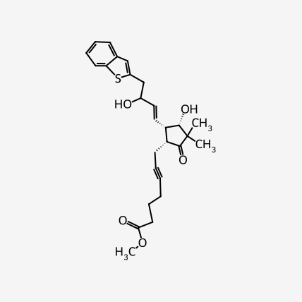 COC(=O)CCCC#CC[C@H]1C(=O)C(C)(C)[C@@H](O)[C@H]1C=CC(O)Cc1cc2ccccc2s1